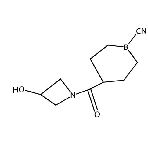 N#CB1CCC(C(=O)N2CC(O)C2)CC1